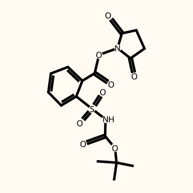 CC(C)(C)OC(=O)NS(=O)(=O)c1ccccc1C(=O)ON1C(=O)CCC1=O